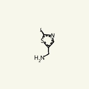 NCc1cnc(I)s1